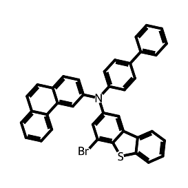 Brc1cc(N(c2ccc(-c3ccccc3)cc2)c2ccc3ccc4ccccc4c3c2)cc2c1sc1ccccc12